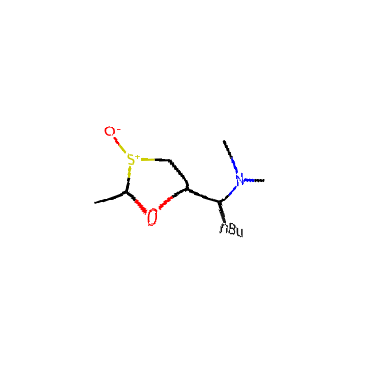 CCCCC(C1C[S+]([O-])C(C)O1)N(C)C